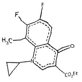 CCOC(=O)c1cn(C2CC2)c2c(C)c(F)c(F)cc2c1=O